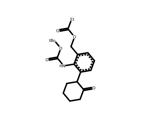 CCC(=O)OCc1cccc(C2CCCCC2=O)c1NC(=O)OC(C)(C)C